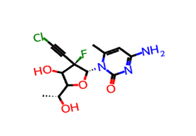 Cc1cc(N)nc(=O)n1[C@@H]1OC([C@@H](C)O)C(O)[C@]1(F)C#CCl